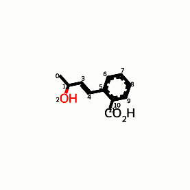 CC(O)/C=C/c1ccccc1C(=O)O